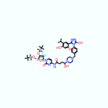 CC(C)c1cc(-c2nnc(O)n2-c2ccc(CN3CCN(C(O)CCC(=O)Nc4ccn([C@@H]5O[C@H](CO[Si](C)(C)C(C)(C)C)[C@@H](O[Si](C)(C)C(C)(C)C)C5(F)F)c(=O)n4)CC3)cc2)c(O)cc1O